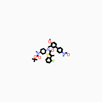 COc1ccc(-c2ccc(N(C)C=O)cc2)cc1CN(C(=O)c1sc2cccc(F)c2c1C)[C@H]1CC[C@H](N(C)C(=O)OC(C)(C)C)CC1